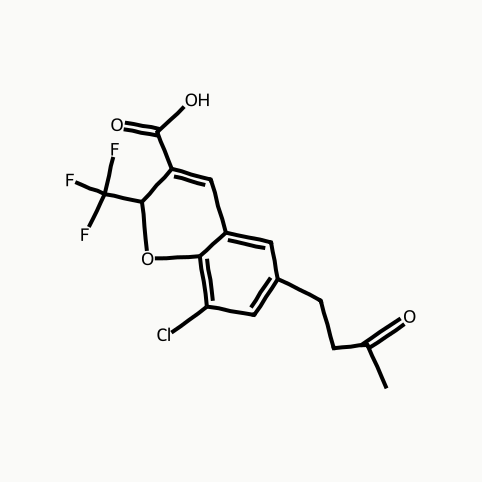 CC(=O)CCc1cc(Cl)c2c(c1)C=C(C(=O)O)C(C(F)(F)F)O2